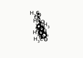 COC(=O)CNC(=O)[C@H]1CC[C@H]2[C@@H]3CC[C@H]4N(C)C(=O)CC[C@]4(C)[C@H]3CC[C@]12C